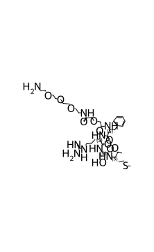 CSCC[C@H](NC(=O)[C@H](CO)NC(=O)[C@H](CCCNC(=N)N)NC(=O)[C@H](Cc1ccccc1)NC(=O)COCC(=O)NCCOCCOCCOCCN)C(C)=O